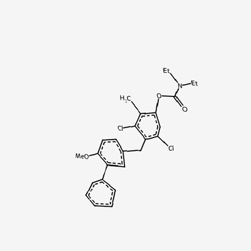 CCN(CC)C(=O)Oc1cc(Cl)c(Cc2ccc(OC)c(-c3ccccc3)c2)c(Cl)c1C